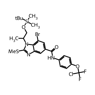 CSc1nc2cc(C(=O)Nc3ccc(OC(F)(F)Cl)cc3)cc(Br)c2n1C(C)CO[Si](C)(C)C(C)(C)C